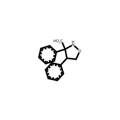 O=C(O)C1(c2ccccc2)NOCC1c1ccccc1